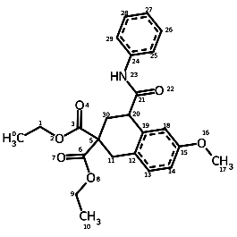 CCOC(=O)C1(C(=O)OCC)Cc2ccc(OC)cc2C(C(=O)Nc2ccccc2)C1